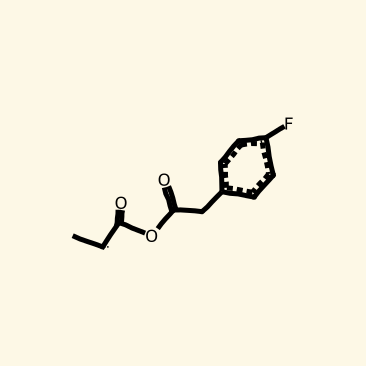 C[CH]C(=O)OC(=O)Cc1ccc(F)cc1